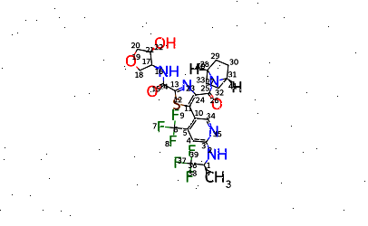 C[C@H](Nc1cc(C(F)(F)F)c(-c2sc(C(=O)N[C@H]3COC[C@H]3O)nc2C(=O)N2[C@H]3CC[C@@H]2CC3)cn1)C(F)(F)F